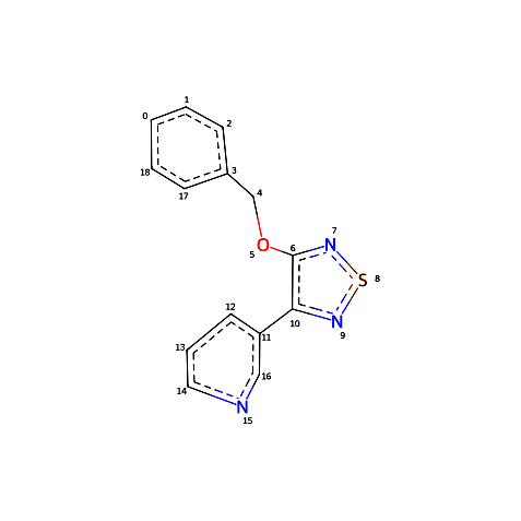 c1ccc(COc2nsnc2-c2cccnc2)cc1